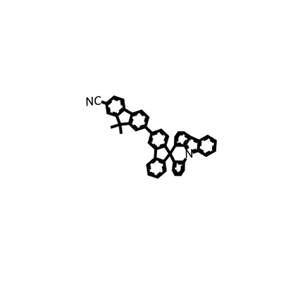 CC1(C)c2cc(C#N)ccc2-c2ccc(-c3ccc4c(c3)-c3ccccc3C43c4ccccc4-n4c5ccccc5c5cccc3c54)cc21